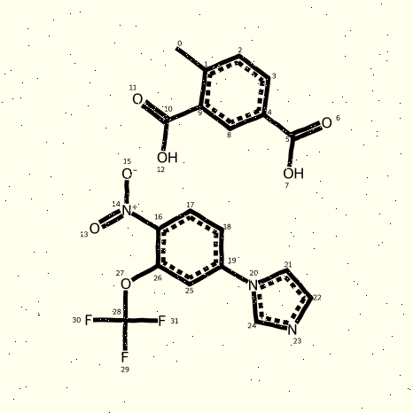 Cc1ccc(C(=O)O)cc1C(=O)O.O=[N+]([O-])c1ccc(-n2ccnc2)cc1OC(F)(F)F